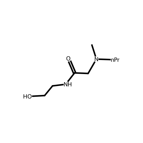 [CH2]CCN(C)CC(=O)NCCO